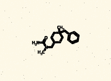 CN(CC1CCC(C)(Cc2ccccc2)CC1)C(N)=O